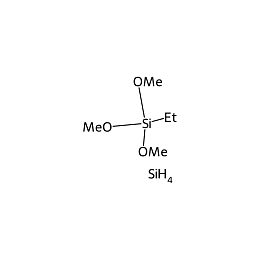 CC[Si](OC)(OC)OC.[SiH4]